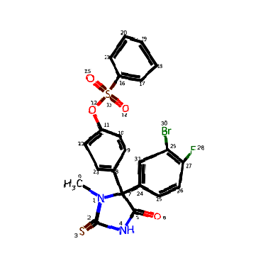 CN1C(=S)NC(=O)C1(c1ccc(OS(=O)(=O)c2ccccc2)cc1)c1ccc(F)c(Br)c1